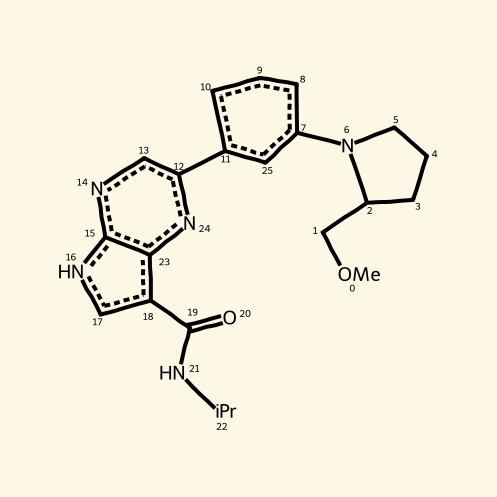 COCC1CCCN1c1cccc(-c2cnc3[nH]cc(C(=O)NC(C)C)c3n2)c1